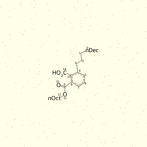 CCCCCCCCCCCCCc1cccc(C(=O)OCCCCCCCC)c1C(=O)O